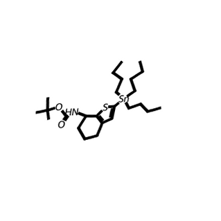 CCC[CH2][Sn]([CH2]CCC)([CH2]CCC)[c]1cc2c(s1)C(NC(=O)OC(C)(C)C)CCC2